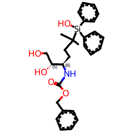 CC(C)(CC[C@@H](NC(=O)OCc1ccccc1)[C@H](O)CO)[Si](O)(c1ccccc1)c1ccccc1